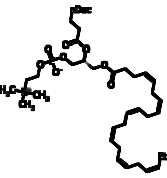 CC/C=C\C/C=C\C/C=C\C/C=C\C/C=C\C/C=C\CCC(=O)OC[C@H](COP(=O)([O-])OCC[N+](C)(C)C)OC(=O)CCCCCCCCCCCC